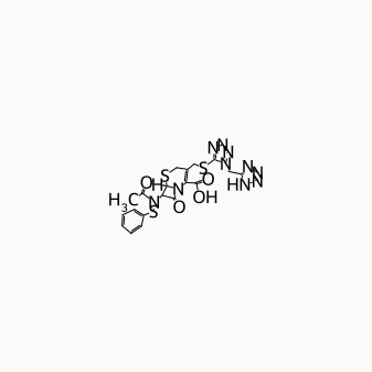 CC(=O)N(Sc1ccccc1)[C@@H]1C(=O)N2C(C(=O)O)=C(CSc3nnnn3Cc3nnn[nH]3)CS[C@@H]12